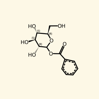 O=C(OC1O[C@H](CO)[C@@H](O)[C@H](O)[C@H]1O)c1ccccc1